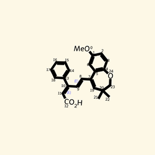 COc1ccc2c(c1)C(/C=C/C(=C\C(=O)O)c1ccccc1)=CC(C)(C)CO2